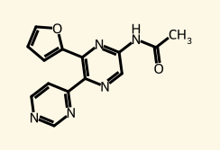 CC(=O)Nc1cnc(-c2ccncn2)c(-c2ccco2)n1